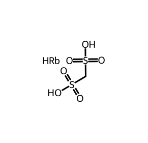 O=S(=O)(O)CS(=O)(=O)O.[RbH]